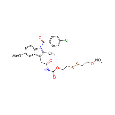 COc1ccc2c(c1)c(CC(=O)NC(=O)OCCSSCCO[N+](=O)[O-])c(C)n2C(=O)c1ccc(Cl)cc1